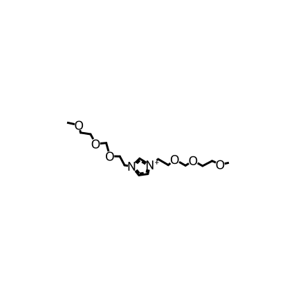 COCCOCOCCn1cc[n+](CCOCOCCOC)c1